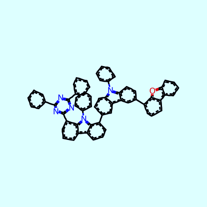 c1ccc(-c2nc(-c3ccccc3)nc(-c3cccc4c5cccc(-c6ccc7c(c6)c6cc(-c8cccc9c8oc8ccccc89)ccc6n7-c6ccccc6)c5n(-c5ccccc5)c34)n2)cc1